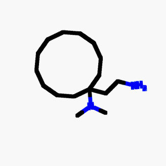 CN(C)C1(CCN)CCCCCCCCCCC1